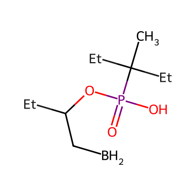 BCC(CC)OP(=O)(O)C(C)(CC)CC